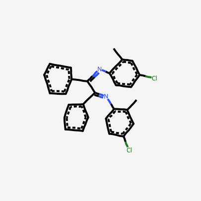 Cc1cc(Cl)ccc1N=C(C(=Nc1ccc(Cl)cc1C)c1ccccc1)c1ccccc1